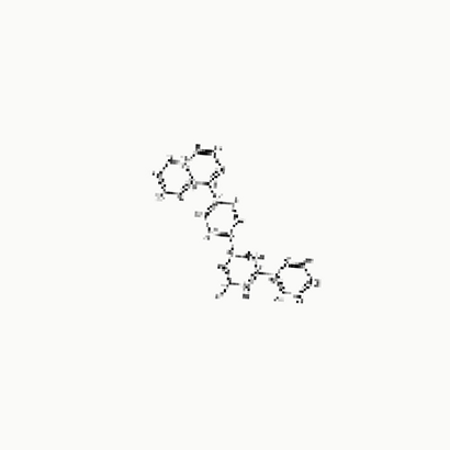 Cc1cc(-c2ccc(-c3cccc4ccccc34)cc2)nc(-c2ccccc2)n1